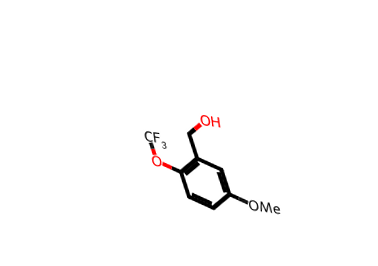 COc1ccc(OC(F)(F)F)c(CO)c1